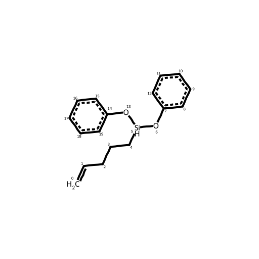 C=CCCC[SiH](Oc1ccccc1)Oc1ccccc1